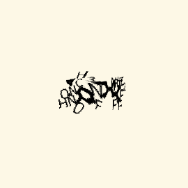 Cc1c(N2CCC(C(N)C=C(C(F)(F)F)C(F)(F)F)C2)c(F)cc2c(=O)[nH]c(=O)n(C3CC3)c12